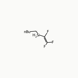 CCCC[CH][SiH2]C(F)=C(F)F